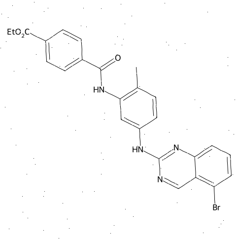 CCOC(=O)c1ccc(C(=O)Nc2cc(Nc3ncc4c(Br)cccc4n3)ccc2C)cc1